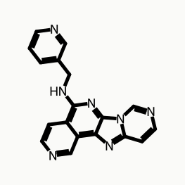 c1cncc(CNc2nc3c(nc4ccncn43)c3cnccc23)c1